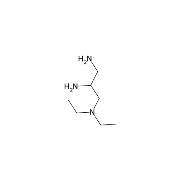 CCN(CC)CC(N)CN